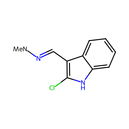 CN/N=C/c1c(Cl)[nH]c2ccccc12